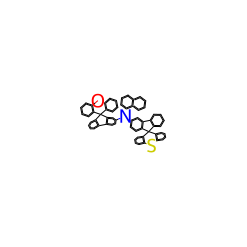 c1ccc2c(c1)Oc1ccccc1C21c2ccccc2-c2ccc(N(c3ccc4c(c3)-c3ccccc3C43c4ccccc4Sc4ccccc43)c3cccc4ccccc34)cc21